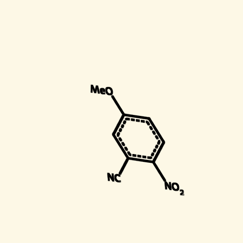 COc1ccc([N+](=O)[O-])c(C#N)c1